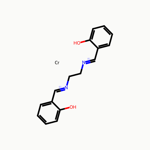 Oc1ccccc1/C=N/CC/N=C/c1ccccc1O.[Cr]